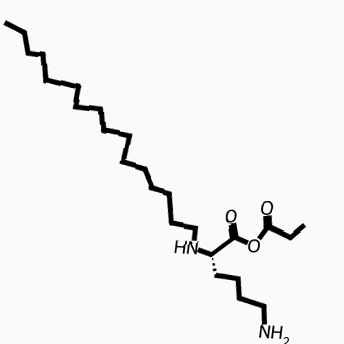 CCCCCCCCCCCCCCCCN[C@@H](CCCCN)C(=O)OC(=O)CC